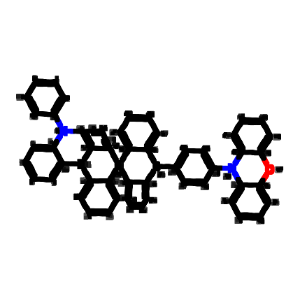 c1ccc(N2c3ccccc3B3c4ccccc4[Si]4(c5ccccc5B(c5ccc(N6c7ccccc7Oc7ccccc76)cc5)c5ccccc54)c4cccc2c43)cc1